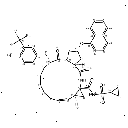 O=C1N[C@]2(C(=O)NS(=O)(=O)C3CC3)C[C@H]2/C=C\CCCCC[C@H](Nc2ccc(F)c(C(F)(F)F)c2)C(=O)N2C[C@H](Oc3nccc4ccccc34)C[C@@H]12